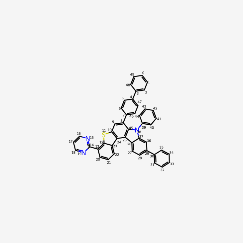 c1ccc(-c2ccc(-c3cc4sc5c(-c6ncccn6)cccc5c4c4c5ccc(-c6ccccc6)cc5n(-c5ccccc5)c34)cc2)cc1